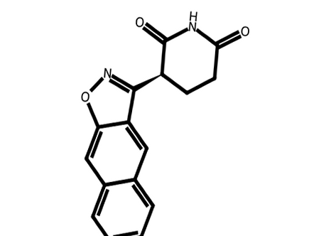 O=C1CC[C@@H](c2noc3cc4ccccc4cc23)C(=O)N1